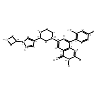 Cc1nc2c(-c3ccc(Cl)cc3F)nc(N3CCOC(c4cnn(C5COC5)c4)C3)cc2c(=O)n1C